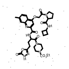 CCOC(=O)N1CCN(C(=O)C(CCc2n[nH]c(=O)o2)NC(=O)c2cc(OCC(=O)N3CCCC3C(=O)NC3CCC3)c3ccc(C)cc3n2)CC1